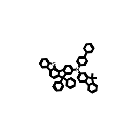 CC1(C)c2ccccc2-c2ccc(N(c3ccc(C4=CC=CCC4)cc3)c3ccc4c(c3)C(c3ccccc3)(c3ccccc3)c3ccc5c(sc6ccccc65)c3-4)cc21